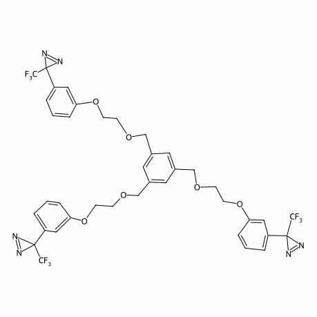 FC(F)(F)C1(c2cccc(OCCOCc3cc(COCCOc4cccc(C5(C(F)(F)F)N=N5)c4)cc(COCCOc4cccc(C5(C(F)(F)F)N=N5)c4)c3)c2)N=N1